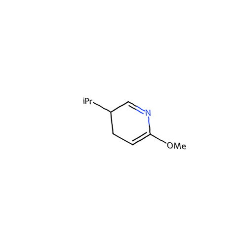 COC1=CCC(C(C)C)C=N1